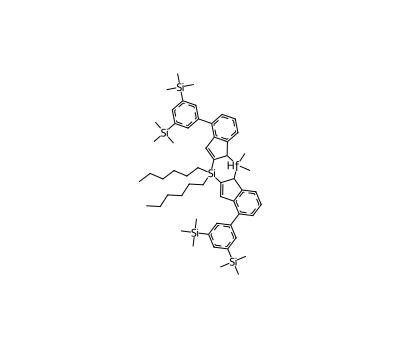 CCCCCC[Si]1(CCCCCC)C2=Cc3c(-c4cc([Si](C)(C)C)cc([Si](C)(C)C)c4)cccc3[CH]2[Hf]([CH3])([CH3])[CH]2C1=Cc1c(-c3cc([Si](C)(C)C)cc([Si](C)(C)C)c3)cccc12